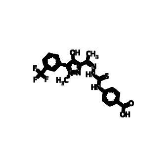 CC(=NNC(=S)Nc1ccc(C(=O)O)cc1)c1nn(C)c(-c2cccc(C(F)(F)F)c2)c1O